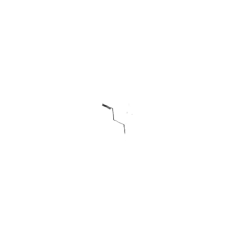 C=CC[CH2][Zr+2].[Cl-].[Cl-].[SiH4]